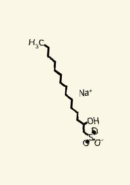 CCCCCCCCCCCCCC(O)CS(=O)(=O)[O-].[Na+]